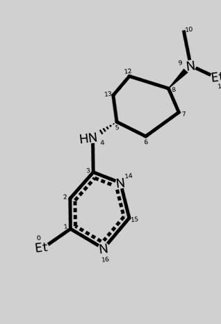 CCc1cc(N[C@H]2CC[C@H](N(C)CC)CC2)ncn1